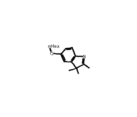 CCCCCCOc1ccc2c(c1)C(C)(C)C(C)=N2